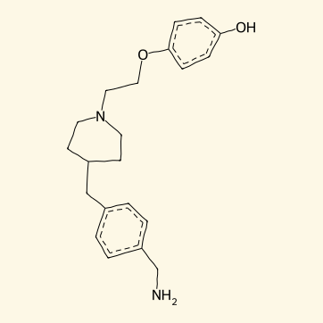 NCc1ccc(CC2CCN(CCOc3ccc(O)cc3)CC2)cc1